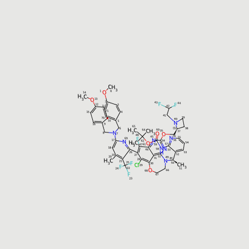 COc1ccc(CN(Cc2ccc(OC)cc2)c2cc(C)c(C(F)(F)F)c(-c3c(Cl)c4c5c(nc(OC[C@@H]6CCN6CC(F)F)nc5c3F)N([C@H](C)c3cccnc3NC(=O)OC(C)(C)C)CCO4)n2)cc1